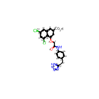 O=C(COc1cc(C(=O)O)cc2cc(Cl)cc(Cl)c12)Nc1ccc(Cc2nnn[nH]2)cc1